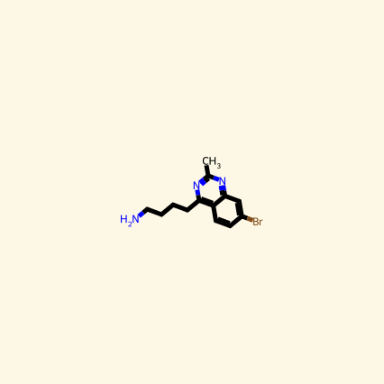 Cc1nc(CCCCN)c2ccc(Br)cc2n1